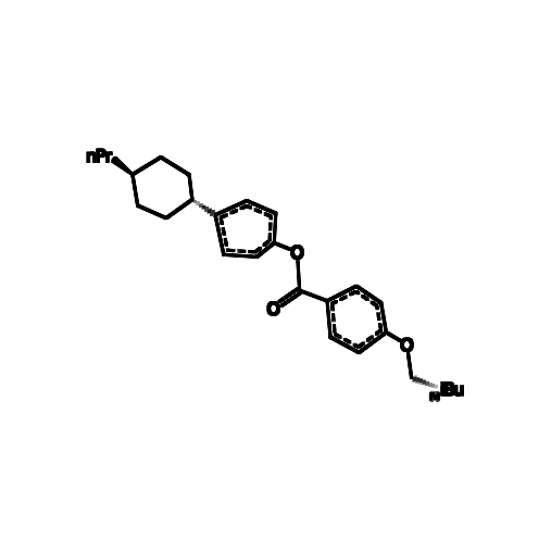 CCC[C@H]1CC[C@H](c2ccc(OC(=O)c3ccc(OC[C@@H](C)CC)cc3)cc2)CC1